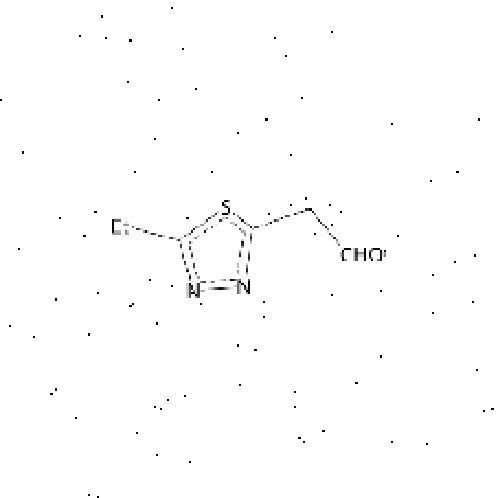 CCc1nnc(C[C]=O)s1